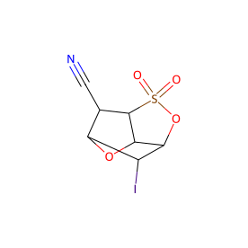 N#CC1C2OC3C(OS(=O)(=O)C13)C2I